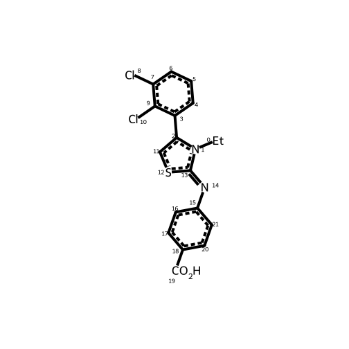 CCn1c(-c2cccc(Cl)c2Cl)csc1=Nc1ccc(C(=O)O)cc1